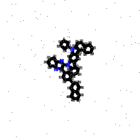 c1ccc(-n2c3cc4c(cc3c3c5ccccc5ccc32)c2ccccc2n4-c2nc3ccccc3nc2-c2ccc(-c3ccc4ccccc4c3)cc2)cc1